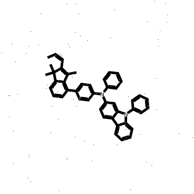 C/C=C\C1=C(C)c2c(-c3ccc(N(c4ccccc4)c4ccc5c6ccccc6n(-c6ccccc6)c5c4)cc3)cccc2C1(C)C